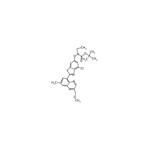 CCN(Oc1cc(Cl)c2nc(-c3cc(C)cc4nc(COC)cnc34)sc2c1)C(=O)OC(C)(C)C